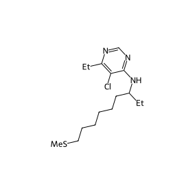 CCc1ncnc(NC(CC)CCCCCCSC)c1Cl